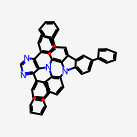 c1ccc(-c2ccc3c(c2)N(c2c(-c4ccccc4)ncnc2-c2ccccc2)c2cc(-c4ccccc4)cc4c5cc(-c6ccccc6)ccc5n-3c24)cc1